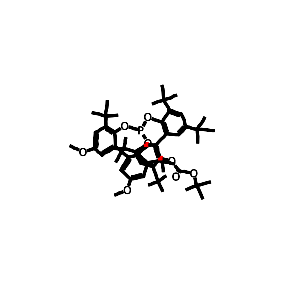 COc1cc(C(C)(C)C)c2op(Oc3c(-c4cc(C(C)(C)C)cc(C(C)(C)C)c4OC(=O)OC(C)(C)C)cc(C(C)(C)C)cc3C(C)(C)C)oc3c(C(C)(C)C)cc(OC)cc3c2c1